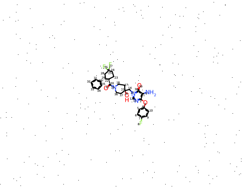 Nc1c(Oc2ccc(F)cc2)ncn(CC2(O)CCN(C(=O)[C@@H]3CCC(F)(F)C[C@H]3c3ccccc3)CC2)c1=O